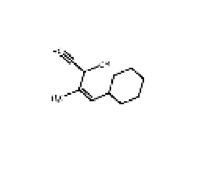 C#CC(O)C(C)=CC1CCCCC1